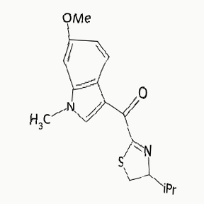 COc1ccc2c(C(=O)C3=NC(C(C)C)CS3)cn(C)c2c1